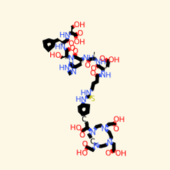 C[C@H](NC(=O)[C@H](CC(=O)O)NC(=O)CCCNC(=S)Nc1ccc(CCC(C(=O)O)N2CCN(CC(=O)O)CCN(CC(=O)O)CCN(CC(=O)O)CC2)cc1)C(=O)N[C@@H](Cc1c[nH]cn1)C(=O)N[C@@H](CO)C(=O)N[C@@H](Cc1ccccc1)C(=O)N[C@@H](CO)C(=O)O